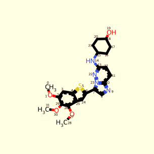 COc1cc2sc(-c3cnc4ccc(NC5CCC(O)CC5)nn34)cc2c(OC)c1OC